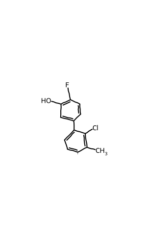 Cc1[c]ccc(-c2ccc(F)c(O)c2)c1Cl